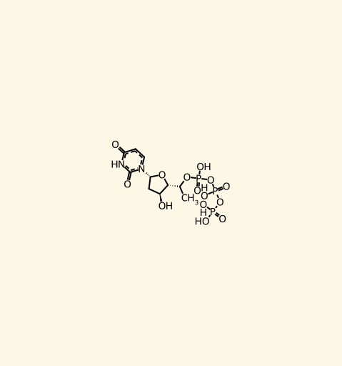 CC(OP(=O)(O)OP(=O)(O)OP(=O)(O)O)[C@H]1O[C@@H](n2ccc(=O)[nH]c2=O)C[C@@H]1O